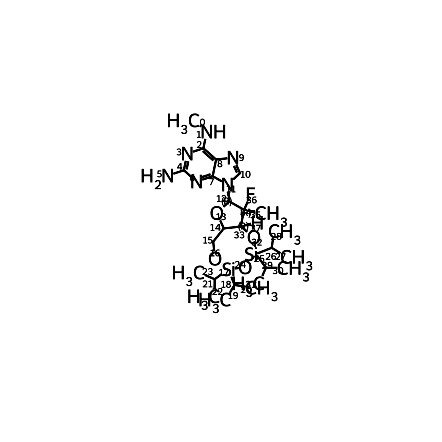 CNc1nc(N)nc2c1ncn2[C@@H]1OC2CO[Si](C(C)C)(C(C)C)O[Si](C(C)C)(C(C)C)O[C@H]2[C@@]1(C)F